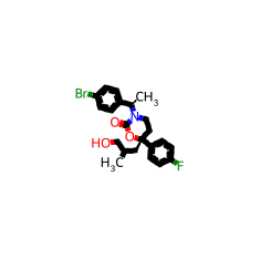 CC(CO)C[C@]1(c2ccc(F)cc2)CCN([C@@H](C)c2ccc(Br)cc2)C(=O)O1